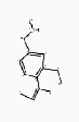 C/C=C(/C)c1ccc(CNC)cc1CC